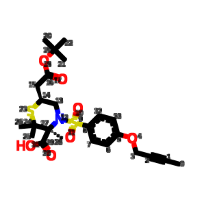 CC#CCOc1ccc(S(=O)(=O)N2C[C@H](CC(=O)OC(C)(C)C)SC(C)(C)[C@]2(C)C(=O)O)cc1